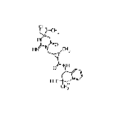 CCC1(CC)CC(=O)N(CC2C(C)C2C(=O)N[C@@H]2CC(C)(C)Oc3ccccc32)C(=N)N1